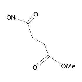 COC(=O)CCC(=O)N=O